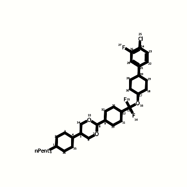 CCCCCC1CCC(C2COC(C3CCC(C(F)(F)OC4CCC(c5ccc(Cl)c(F)c5)CC4)CC3)OC2)CC1